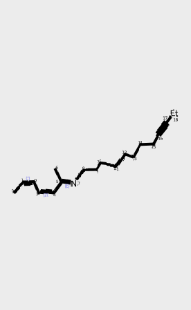 C\C=C/C=C\C(C)=N\CCCCCCCCC#CCC